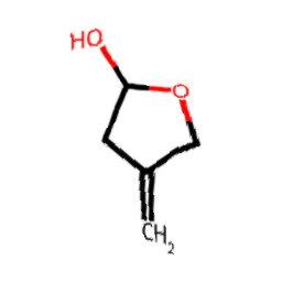 C=C1COC(O)C1